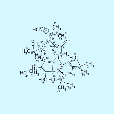 CC1=C(C)C(C)[C]([Ti]([SiH2]c2ccccc2)([c]2cc(C(C)(C)C)cc(C(C)(C)C)c2)[c]2cc(C(C)(C)C)cc(C(C)(C)C)c2)=C1C.Cl.Cl.Cl